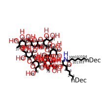 CCCCCCCCCCCCC/C=C/[C@@H](O)[C@H](CO[C@@H]1OC(CO)[C@@H](O[C@@H]2OC(CO)[C@H](O)[C@H](O[C@@H]3OC(CO)[C@@H](O[C@H]4OC(C)[C@@H](O)C(O)[C@@H]4O)[C@H](O[C@@H]4OC(CO)[C@H](O)[C@H](O[C@@H]5OC(CO)[C@@H](O[C@@H]6OC(CO)[C@H](O)[C@H](O)C6O)[C@H](O[C@H]6OC(C)[C@@H](O)C(O)[C@@H]6O)C5NC(C)=O)C4O)C3NC(C)=O)C2O)[C@H](O)C1O)NC(=O)CCCCCCCCCCCCCCC